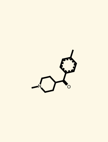 Cc1ccc(C(=O)C2CCN(C)CC2)cc1